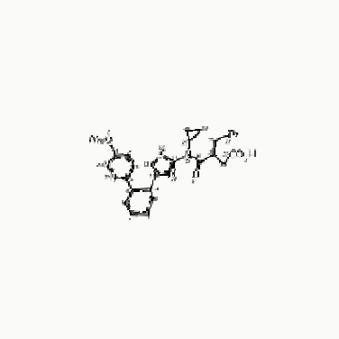 COc1ccc(-c2ccccc2-c2csc(N(C(=O)C(CC(=O)O)CC(C)C)C3CC3)n2)nn1